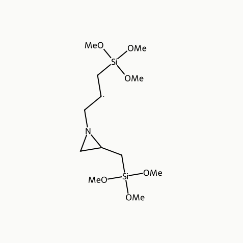 CO[Si](C[CH]CN1CC1C[Si](OC)(OC)OC)(OC)OC